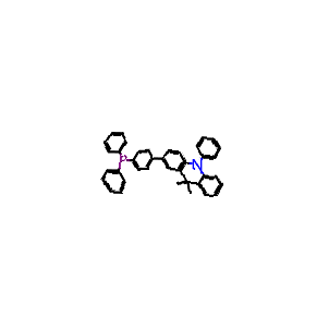 CC1(C)c2ccccc2N(c2ccccc2)c2ccc(-c3ccc(P(c4ccccc4)c4ccccc4)cc3)cc21